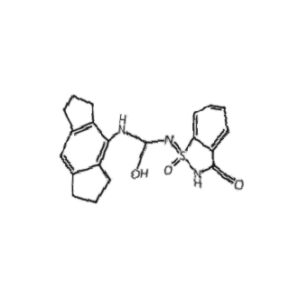 O=C1NS(=O)(=NC(O)Nc2c3c(cc4c2CCC4)CCC3)c2ccccc21